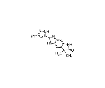 CC(C)c1cc(-c2nc3cc4c(cc3[nH]2)C(C)(C)C(=O)N4)[nH]n1